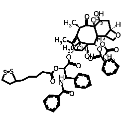 CC(=O)O[C@@]12CO[C@@H]1C[C@H](O)[C@@]1(C)C(=O)[C@H](C)C3=C(C)[C@@H](OC(=O)[C@H](OC(=O)CCCCC4CCSS4)[C@@H](NC(=O)c4ccccc4)c4ccccc4)C[C@@](O)([C@@H](OC(=O)c4ccccc4)[C@H]21)C3(C)C